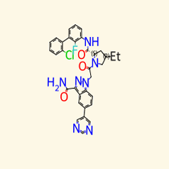 CC[C@@H]1C[C@@H](C(=O)Nc2cccc(-c3ccccc3Cl)c2F)N(C(=O)Cn2nc(C(N)=O)c3cc(-c4cncnc4)ccc32)C1